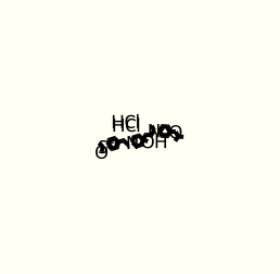 CC(C)Oc1ccc(N(C)CCC2(O)CCN(CCc3ccc([S+](C)[O-])cc3)CC2)cc1.Cl.Cl